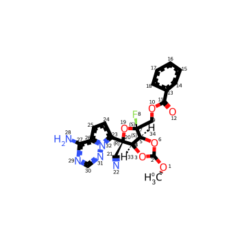 COC1O[C@@H]2[C@H](O1)[C@@](F)(COC(=O)c1ccccc1)O[C@@]2(C#N)c1ccc2c(N)ncnn12